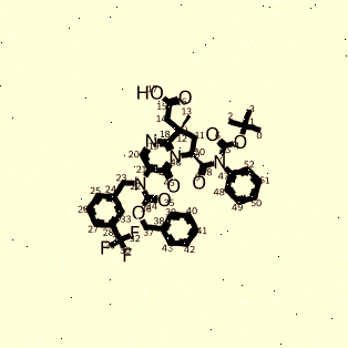 CC(C)(C)OC(=O)N(C(=O)[C@@H]1C[C@@](C)(CC(=O)O)c2ncc(N(Cc3cccc(C(F)(F)F)c3)C(=O)OCc3ccccc3)c(=O)n21)c1ccccc1